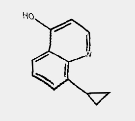 Oc1ccnc2c(C3CC3)cccc12